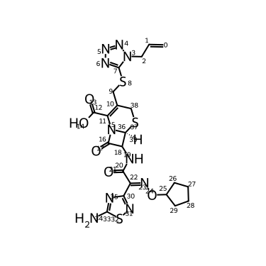 C=CCn1nnnc1SCC1=C(C(=O)O)N2C(=O)C(NC(=O)C(=NOC3CCCC3)c3nsc(N)n3)[C@@H]2SC1